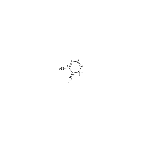 [O]c1ccc[nH]c1=O